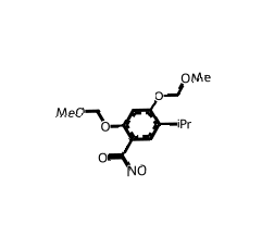 COCOc1cc(OCOC)c(C(C)C)cc1C(=O)N=O